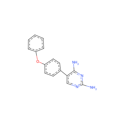 Nc1ncc(-c2ccc(Oc3ccccc3)cc2)c(N)n1